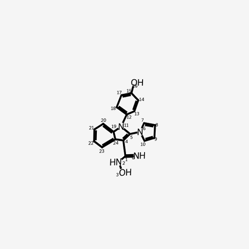 N=C(NO)c1c(-n2cccc2)n(-c2ccc(O)cc2)c2ccccc12